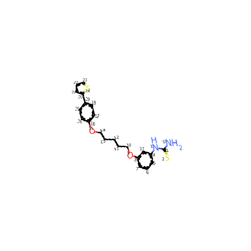 NC(=S)Nc1cccc(OCCCCCOc2ccc(-c3cccs3)cc2)c1